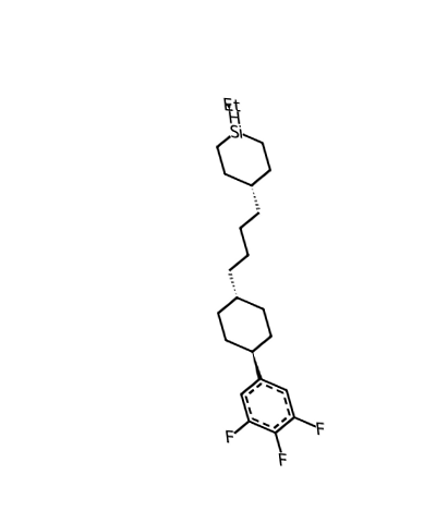 CC[Si@H]1CC[C@H](CCCC[C@H]2CC[C@H](c3cc(F)c(F)c(F)c3)CC2)CC1